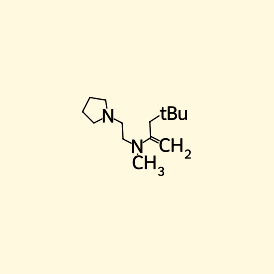 C=C(CC(C)(C)C)N(C)CCN1CCCC1